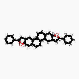 c1ccc(-c2cc3cc4c(ccc5c6cc7cc(-c8ccccc8)oc7cc6ccc45)cc3o2)cc1